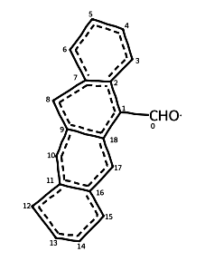 O=[C]c1c2ccccc2cc2cc3ccccc3cc12